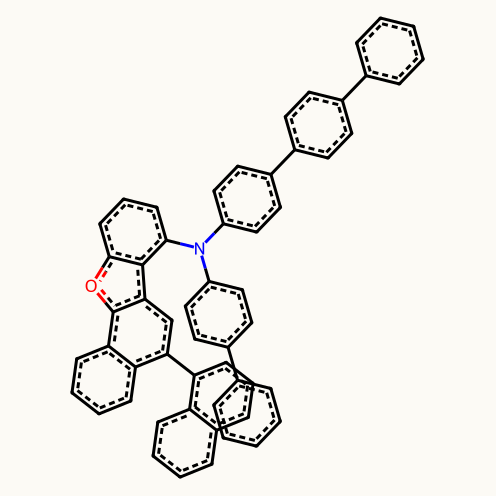 c1ccc(-c2ccc(-c3ccc(N(c4ccc(-c5ccccc5)cc4)c4cccc5oc6c7ccccc7c(-c7cccc8ccccc78)cc6c45)cc3)cc2)cc1